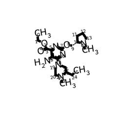 CCOC(=O)c1nc(OC[C@@H]2CCCN2C)nc(N2CCN(C)C(CC)C2)c1N